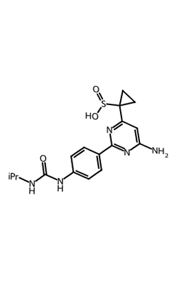 CC(C)NC(=O)Nc1ccc(-c2nc(N)cc(C3(S(=O)O)CC3)n2)cc1